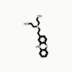 OCCN(CCO)CCc1ccc2c(c1)Nc1ccccc1S2